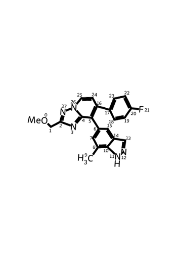 COCc1nc2c(-c3cc(C)c4[nH]ncc4c3)c(-c3ccc(F)cc3)ccn2n1